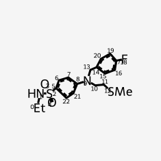 CCNS(=O)(=O)c1ccc(N(CCSC)Cc2ccc(F)cc2)cc1